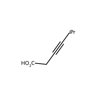 CC(C)C#CCC(=O)O